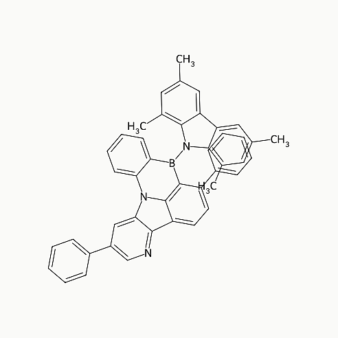 Cc1cc(C)c2c(c1)c1cc(C)cc(C)c1n2B1c2ccccc2-n2c3cc(-c4ccccc4)cnc3c3ccc(-c4ccccc4)c1c32